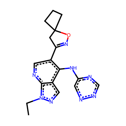 CCn1ncc2c(Nc3cnncn3)c(C3=NOC4(CCC4)C3)cnc21